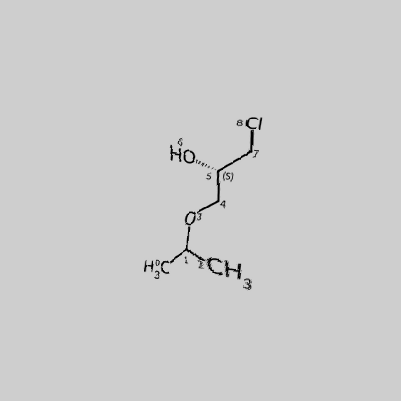 CC(C)OC[C@H](O)CCl